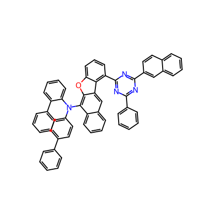 c1ccc(-c2ccc(N(c3ccccc3-c3ccccc3)c3c4ccccc4cc4c3oc3cccc(-c5nc(-c6ccccc6)nc(-c6ccc7ccccc7c6)n5)c34)cc2)cc1